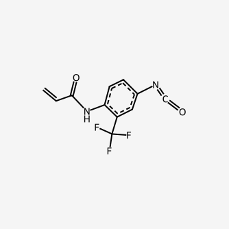 C=CC(=O)Nc1ccc(N=C=O)cc1C(F)(F)F